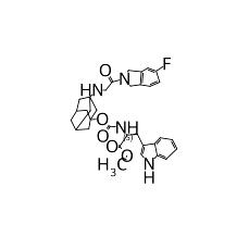 COC(=O)[C@H](Cc1c[nH]c2ccccc12)NC(=O)OC12CC3CC(CC(NCC(=O)N4Cc5ccc(F)cc5C4)(C3)C1)C2